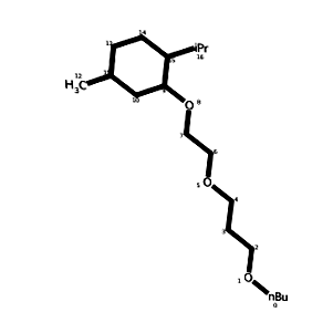 CCCCOCCCOCCOC1CC(C)CCC1C(C)C